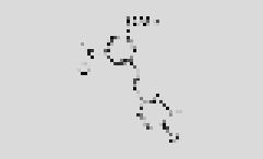 COc1cc(C=Cc2ccc(=O)[nH]n2)cc([S+](C)[O-])c1